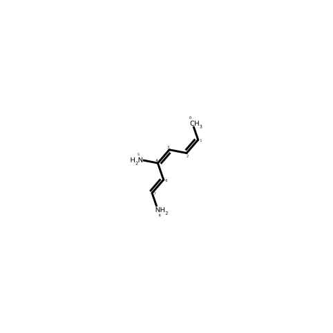 C\C=C/C=C(N)\C=C\N